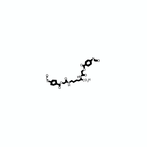 O=C=Nc1ccc(C(=O)OCC(=O)NCCCCC(NC(=O)COC(=O)c2ccc(N=C=O)cc2)C(=O)O)cc1